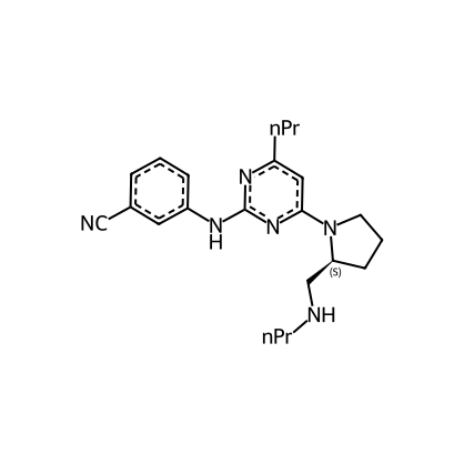 CCCNC[C@@H]1CCCN1c1cc(CCC)nc(Nc2cccc(C#N)c2)n1